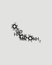 Nc1ccc(-c2cn3cc(NC(=O)OCc4ccccc4)cnc3n2)cc1